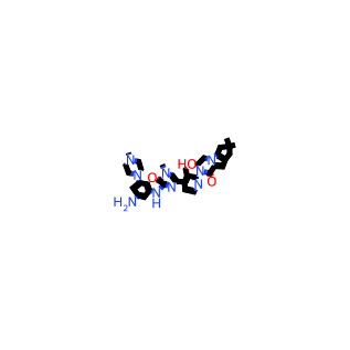 CN1CCN(c2cc(N)cc(Nc3nc(-c4ccnc(N5CCn6c(cc7c6CC(C)(C)C7)C5=O)c4CO)cn(C)c3=O)c2)CC1